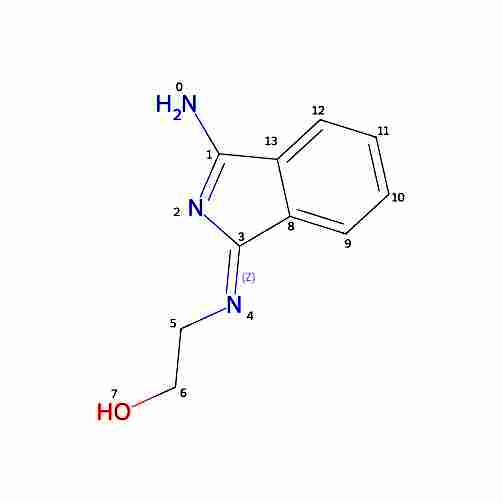 NC1=N/C(=N\CCO)c2ccccc21